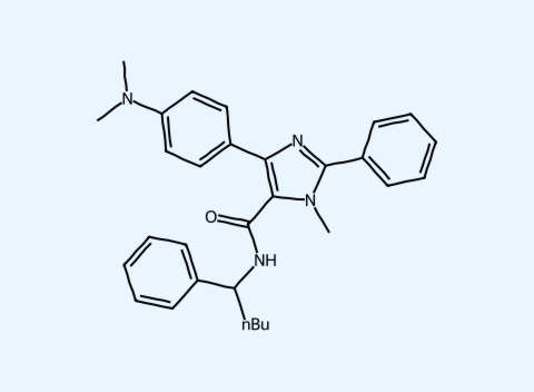 CCCCC(NC(=O)c1c(-c2ccc(N(C)C)cc2)nc(-c2ccccc2)n1C)c1ccccc1